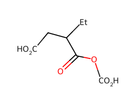 CCC(CC(=O)O)C(=O)OC(=O)O